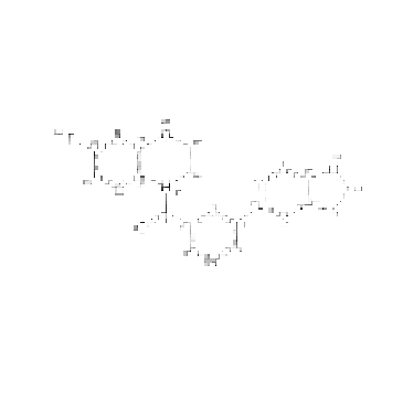 O=C(c1cncc(-c2ccc3c(c2)CCO3)c1)N1CCOc2cc(F)ccc21